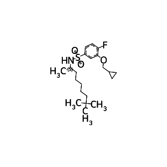 C[C@@H](CCCCCC(C)(C)C)NS(=O)(=O)c1ccc(F)c(OCC2CC2)c1